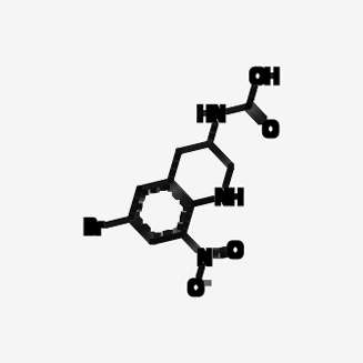 O=C(O)NC1CNc2c(cc(Br)cc2[N+](=O)[O-])C1